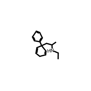 CCNC(C)CC1(c2ccccc2)C=CCC=C1